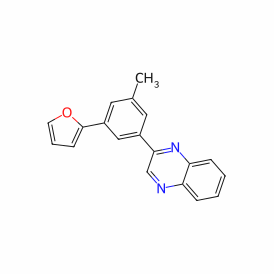 Cc1cc(-c2cnc3ccccc3n2)cc(-c2ccco2)c1